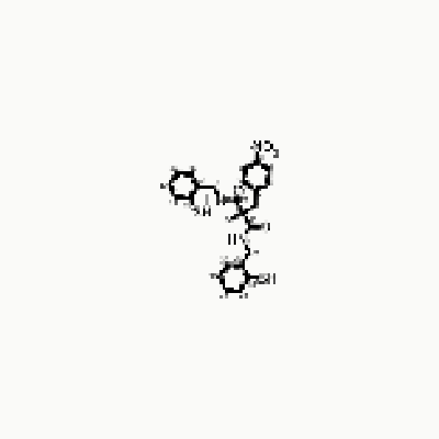 CC(Cc1ccc([N+](=O)[O-])cc1)(C(=O)NCc1ccccc1S)C(=O)NCc1ccccc1S